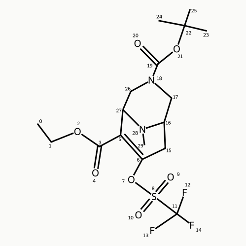 CCOC(=O)C1=C(OS(=O)(=O)C(F)(F)F)CC2CN(C(=O)OC(C)(C)C)CC1N2C